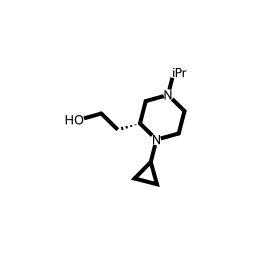 CC(C)N1CCN(C2CC2)[C@H](CCO)C1